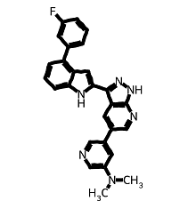 CN(C)c1cncc(-c2cnc3[nH]nc(-c4cc5c(-c6cccc(F)c6)cccc5[nH]4)c3c2)c1